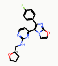 Fc1ccc(-c2nc3occn3c2-c2ccnc(NC[C@H]3CCCO3)n2)cc1